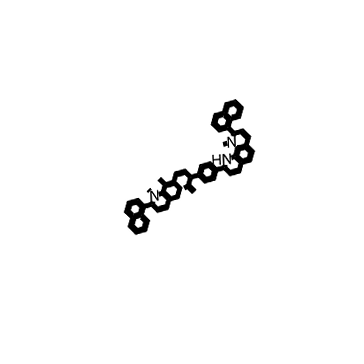 C=C(C)C(/C=C\C1=C(C)C2=C(C=CC(c3cccc4ccccc34)N2C)CC1)c1ccc(C2C=Cc3ccc4c(c3N2)N(C)C(c2cccc3ccccc23)C=C4)cc1